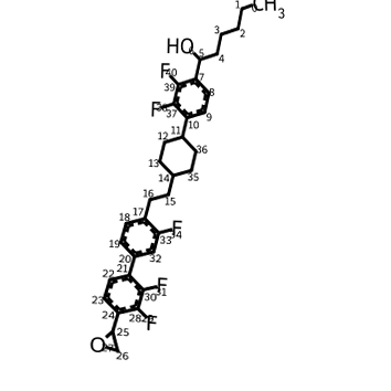 CCCCCC(O)c1ccc(C2CCC(CCc3ccc(-c4ccc(C5CO5)c(F)c4F)cc3F)CC2)c(F)c1F